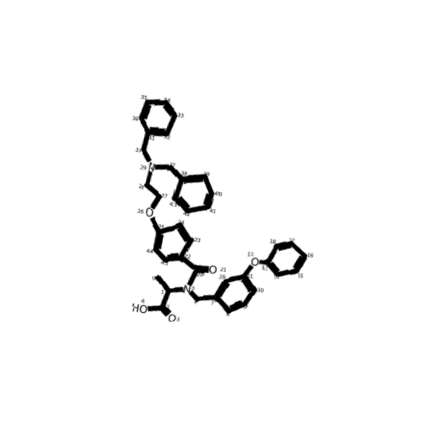 CC(C(=O)O)N(Cc1cccc(Oc2ccccc2)c1)C(=O)c1ccc(OCCN(Cc2ccccc2)Cc2ccccc2)cc1